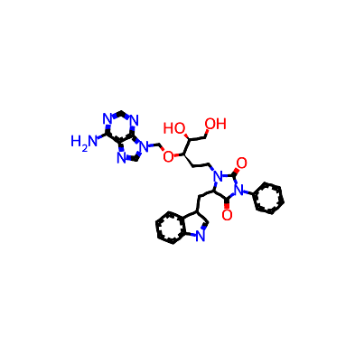 Nc1ncnc2c1ncn2CO[C@H](CCN1C(=O)N(c2ccccc2)C(=O)C1CC1C=Nc2ccccc21)[C@@H](O)CO